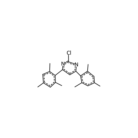 Cc1cc(C)c(-c2cc(-c3c(C)cc(C)cc3C)nc(Cl)n2)c(C)c1